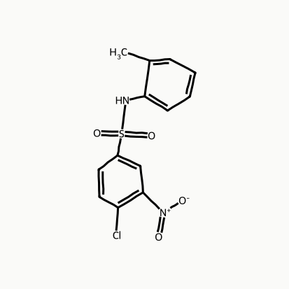 Cc1ccccc1NS(=O)(=O)c1ccc(Cl)c([N+](=O)[O-])c1